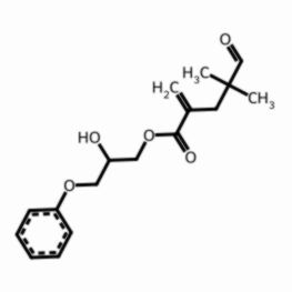 C=C(CC(C)(C)C=O)C(=O)OCC(O)COc1ccccc1